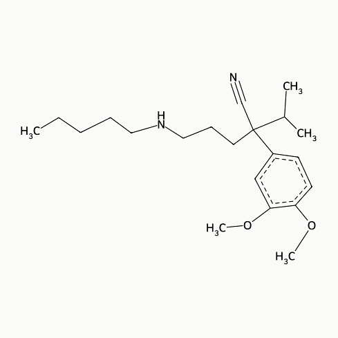 CCCCCNCCCC(C#N)(c1ccc(OC)c(OC)c1)C(C)C